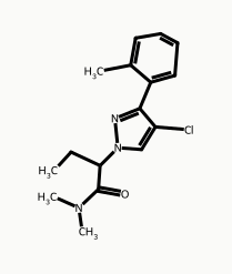 CCC(C(=O)N(C)C)n1cc(Cl)c(-c2ccccc2C)n1